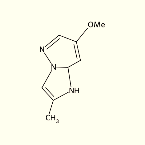 COC1=CC2NC(C)=CN2N=C1